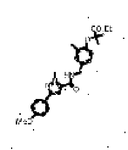 CCOC(=O)C(C)(C)Oc1ccc(CNC(=O)c2cc(-c3ccc(OC)cc3)nn2C)cc1C